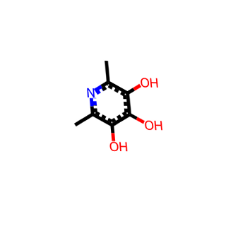 Cc1nc(C)c(O)c(O)c1O